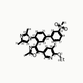 CCOc1ncc(-c2oc(C)nc2-c2cc(-c3cccc(S(C)(=O)=O)c3)ccc2-n2cc(C)nc2C)cc1F